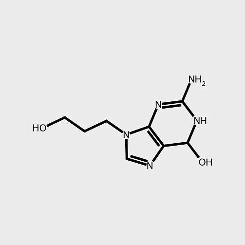 NC1=Nc2c(ncn2CCCO)C(O)N1